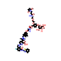 Cc1c(-c2ccc(N3CCc4c(F)ccc(C(=O)Nc5nc6ccccc6s5)c4C3)nc2C(=O)O)cnn1CC12CC3(C)CC(OCCNC(=O)OCc4ccc(O[C@H]5C[C@@H](O)[C@H](O)[C@@H](C(=O)O)O5)cc4OCCOCCNC(=O)CCN4C(=O)C=CC4=O)(CC1(C)C3)C2